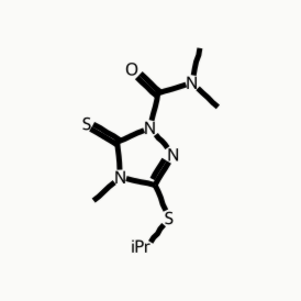 CC(C)Sc1nn(C(=O)N(C)C)c(=S)n1C